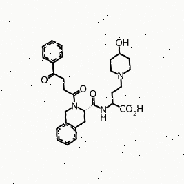 O=C(CCC(=O)N1Cc2ccccc2C[C@H]1C(=O)NC(CCN1CCC(O)CC1)C(=O)O)c1ccccc1